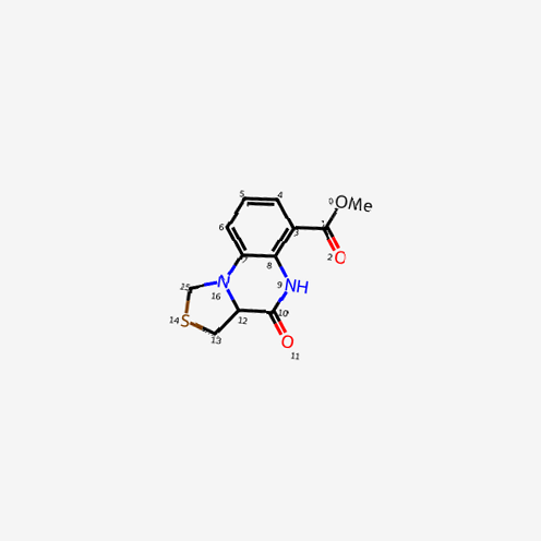 COC(=O)c1cccc2c1NC(=O)C1CSCN21